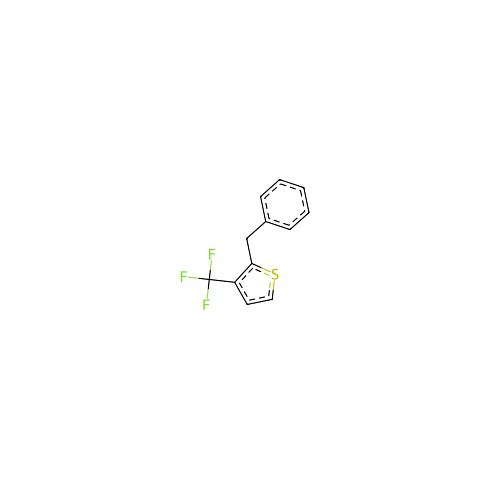 FC(F)(F)c1ccsc1Cc1ccccc1